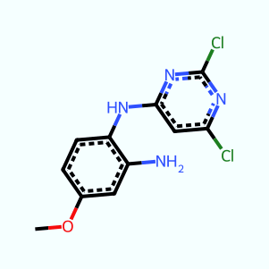 COc1ccc(Nc2cc(Cl)nc(Cl)n2)c(N)c1